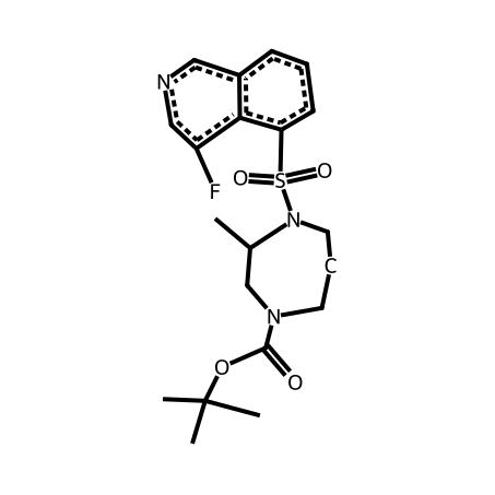 CC1CN(C(=O)OC(C)(C)C)CCCN1S(=O)(=O)c1cccc2cncc(F)c12